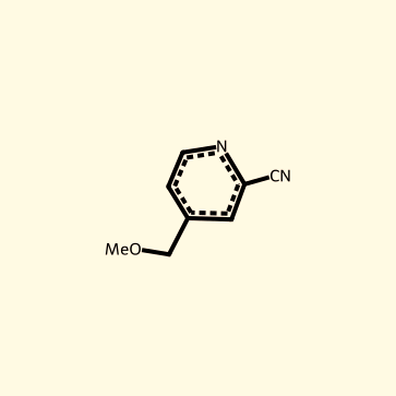 COCc1ccnc(C#N)c1